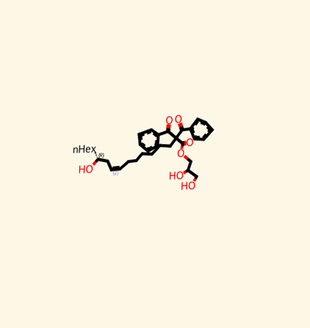 CCCCCC[C@@H](O)C/C=C\CCCCCCC(C(=O)OCC(O)CO)(C(=O)c1ccccc1)C(=O)c1ccccc1